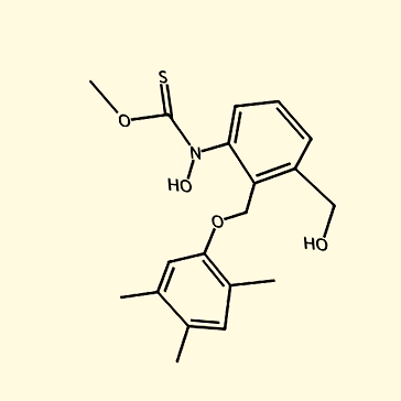 COC(=S)N(O)c1cccc(CO)c1COc1cc(C)c(C)cc1C